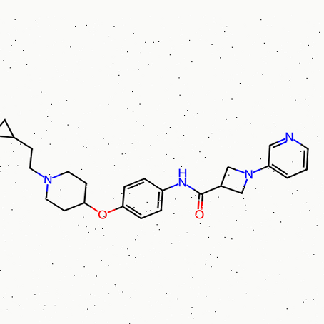 O=C(Nc1ccc(OC2CCN(CCC3CC3)CC2)cc1)C1CN(c2cccnc2)C1